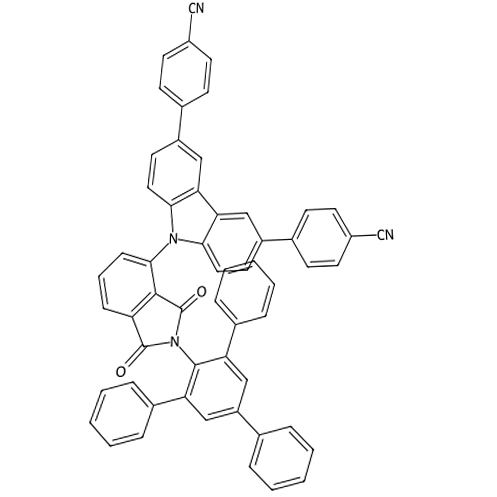 N#Cc1ccc(-c2ccc3c(c2)c2cc(-c4ccc(C#N)cc4)ccc2n3-c2cccc3c2C(=O)N(c2c(-c4ccccc4)cc(-c4ccccc4)cc2-c2ccccc2)C3=O)cc1